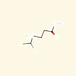 COC(=O)CC[SiH2]C(Cl)Cl